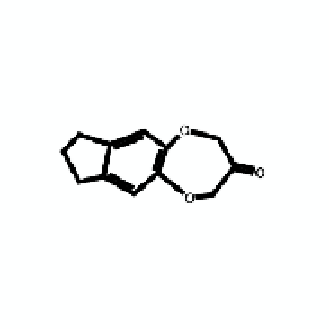 O=C1COc2cc3c(cc2OC1)CCC3